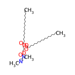 CCCCCCCCCCCCCCCCCC(=O)OCC(COC(=O)N(C)C1CN(CC)C1)OC(=O)CCCCCCCCCCCCCCCCC